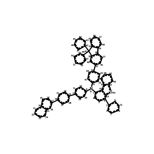 c1ccc(-c2ccc(N(c3ccc(-c4ccc(-c5ccc6ccccc6c5)cc4)cc3)c3ccc(-c4ccc5c(c4)C(c4ccccc4)(c4ccccc4)c4ccccc4-5)cc3)c3c2sc2ccccc23)cc1